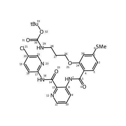 CSc1ccc(C(=O)Nc2cccnc2C(=O)Nc2ccc(Cl)cn2)c(OCCCNC(=O)OC(C)(C)C)c1